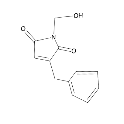 O=C1C=C(Cc2ccccc2)C(=O)N1CO